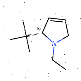 CCN1CC=C[C@H]1C(C)(C)C